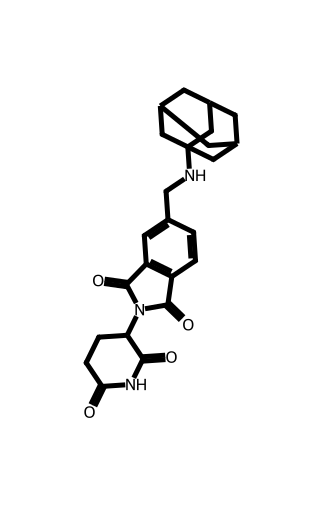 O=C1CCC(N2C(=O)c3ccc(CNC45CC6CC(CC(C6)C4)C5)cc3C2=O)C(=O)N1